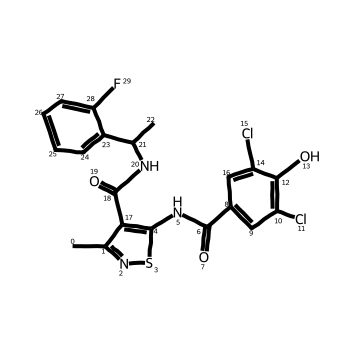 Cc1nsc(NC(=O)c2cc(Cl)c(O)c(Cl)c2)c1C(=O)NC(C)c1ccccc1F